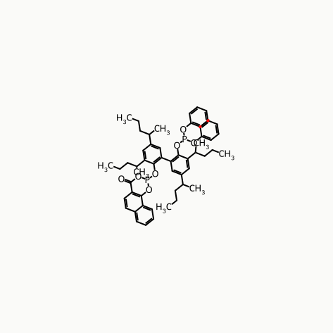 CCCC(C)c1cc(-c2cc(C(C)CCC)cc(C(C)CCC)c2OP2OC(=O)c3ccc4ccccc4c3O2)c(OP(Oc2ccccc2)Oc2ccccc2)c(C(C)CCC)c1